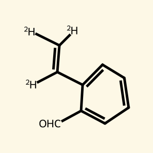 [2H]C([2H])=C([2H])c1ccccc1C=O